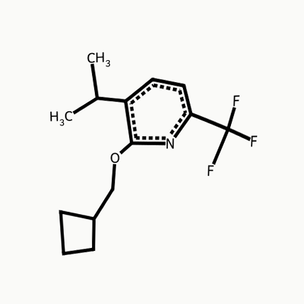 CC(C)c1ccc(C(F)(F)F)nc1OCC1CCC1